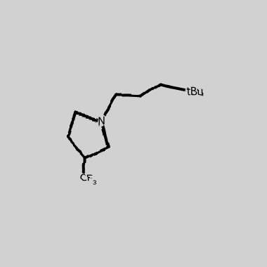 CC(C)(C)CCCN1CCC(C(F)(F)F)C1